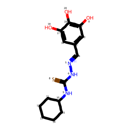 Oc1cc(/C=N/NC(=S)NC2CCCCC2)cc(O)c1O